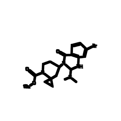 CN(C)C1Nc2cc(Br)ccc2C(=O)N1C1CCN(C(=O)OC(C)(C)C)C2(CC2)C1